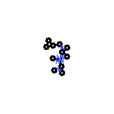 c1ccc(-c2nc(-c3ccc4c5ccccc5n(-c5ccccc5)c4c3)nc(-n3c4ccccc4c4c5c6ccccc6n(-c6cccc(-c7ccc8c9ccccc9c9ccccc9c8c7)c6)c5ccc43)n2)cc1